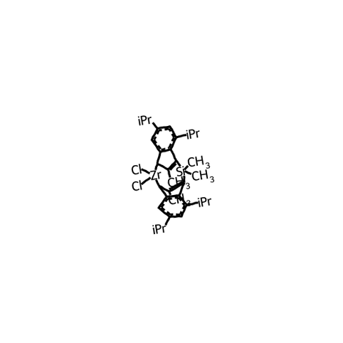 CC1=C2c3c(C(C)C)cc(C(C)C)cc3[CH]1[Zr]([Cl])([Cl])[CH]1C(C)=C(c3c(C(C)C)cc(C(C)C)cc31)[Si]2(C)C